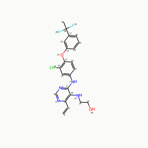 C=Cc1ncnc(Nc2ccc(Oc3cccc(C(C)(F)F)c3)c(Cl)c2)c1NCCO